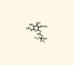 CCCC(C)(C)SBSC1OC(CO)C(O)C(O)C1NC(C)=O